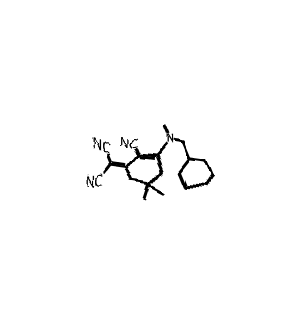 CN(CC1CCCCC1)C1=C(C#N)C(=C(C#N)C#N)CC(C)(C)C1